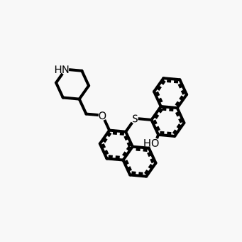 Oc1ccc2ccccc2c1Sc1c(OCC2CCNCC2)ccc2ccccc12